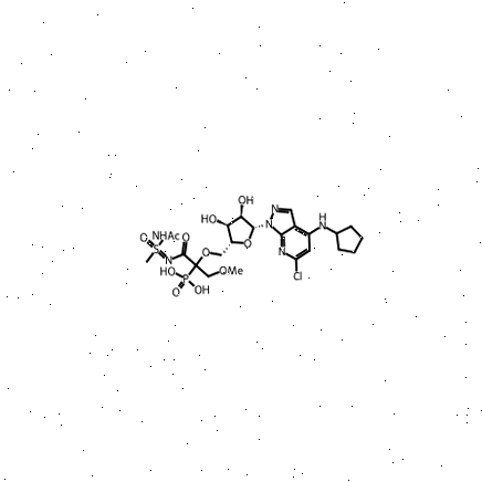 COCC(OC[C@H]1O[C@@H](n2ncc3c(NC4CCCC4)cc(Cl)nc32)[C@H](O)[C@@H]1O)(C(=O)N=S(C)(=O)NC(C)=O)P(=O)(O)O